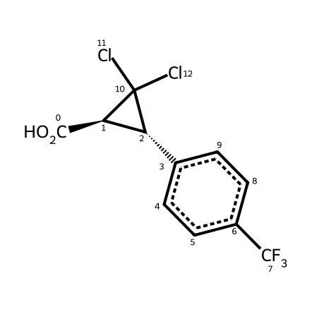 O=C(O)[C@@H]1[C@@H](c2ccc(C(F)(F)F)cc2)C1(Cl)Cl